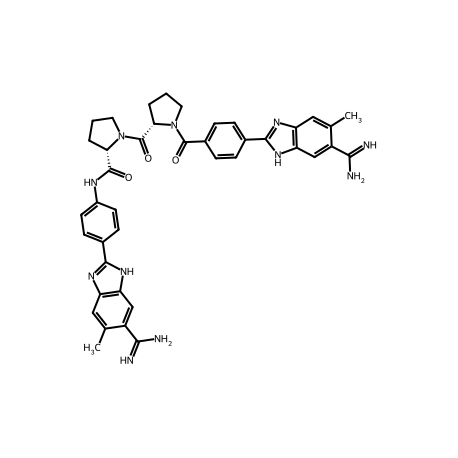 Cc1cc2nc(-c3ccc(NC(=O)[C@@H]4CCCN4C(=O)[C@@H]4CCCN4C(=O)c4ccc(-c5nc6cc(C)c(C(=N)N)cc6[nH]5)cc4)cc3)[nH]c2cc1C(=N)N